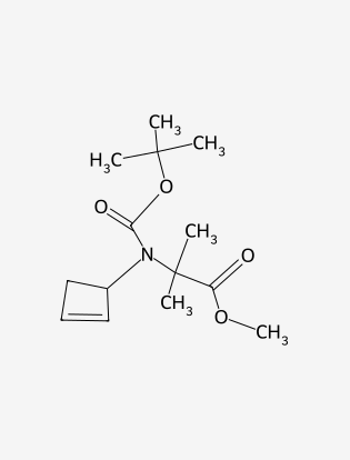 COC(=O)C(C)(C)N(C(=O)OC(C)(C)C)C1C=CC1